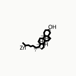 C[CH]([Zn])CCC[C@@H](C)[C@H]1CC[C@H]2[C@@H]3CC=C4C[C@@H](O)CC[C@]4(C)[C@H]3CC[C@]12C